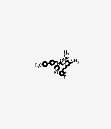 C/C=C1/C=C(CCc2cccc(F)c2F)N(CC(=O)N(CC2C=CC(C3C=CC(C(F)(F)F)=CC3)=CC2)C2CCN(CC)CC2)c2nc(C)sc21